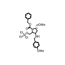 CC[Si](CC)(CC)OCC1C(NCc2ccc(OC)cc2)C[C@@H](COC)N1C(=O)OCc1ccccc1